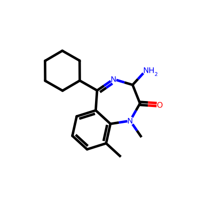 Cc1cccc2c1N(C)C(=O)C(N)N=C2C1CCCCC1